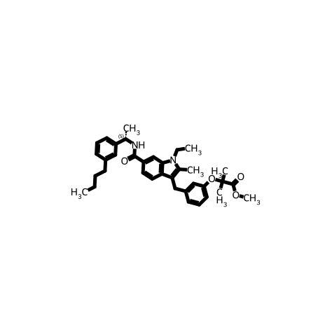 CCCCc1cccc([C@H](C)NC(=O)c2ccc3c(Cc4cccc(OC(C)(C)C(=O)OC)c4)c(C)n(CC)c3c2)c1